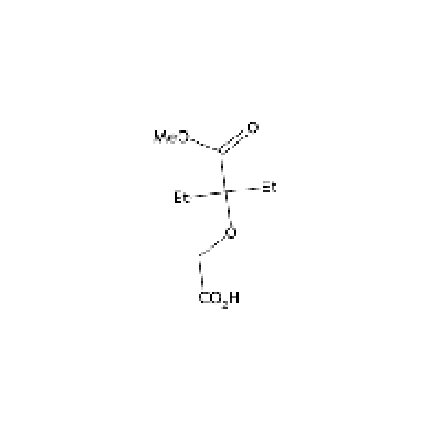 CCC(CC)(OCC(=O)O)C(=O)OC